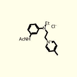 CCN(CC[n+]1ccc(C)cc1)c1cccc(NC(C)=O)c1.[Cl-]